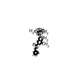 BCC[C@H](C)C[C@H](CCCCN1OC(C)(C)C(C)(C)O1)C(=O)OCc1ccccc1